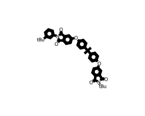 CC(C)(C)c1cccc(N2C(=O)c3ccc(Oc4ccc(C(C)(C)c5ccc(Oc6ccc7c(c6)C(=O)N(C(C)(C)C)C7=O)cc5)cc4)cc3C2=O)c1